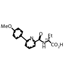 CC[C@H](NC(=O)c1cccc(-c2ccc(OC)cc2)n1)C(=O)O